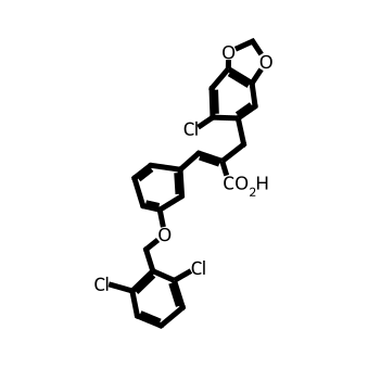 O=C(O)C(=Cc1cccc(OCc2c(Cl)cccc2Cl)c1)Cc1cc2c(cc1Cl)OCO2